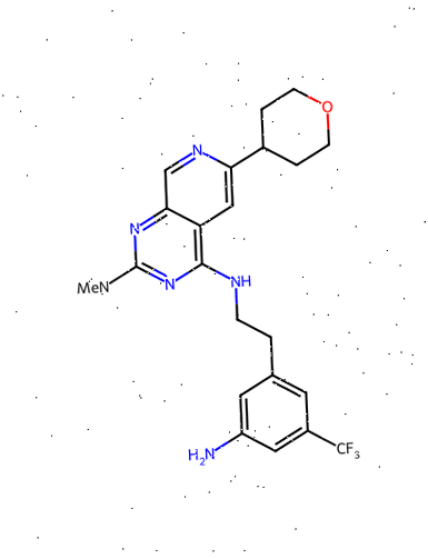 CNc1nc(NCCc2cc(N)cc(C(F)(F)F)c2)c2cc(C3CCOCC3)ncc2n1